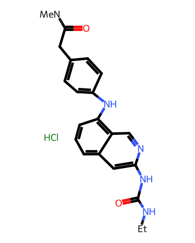 CCNC(=O)Nc1cc2cccc(Nc3ccc(CC(=O)NC)cc3)c2cn1.Cl